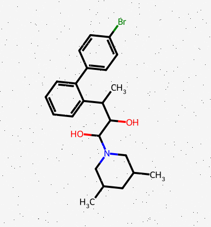 CC1CC(C)CN(C(O)C(O)C(C)c2ccccc2-c2ccc(Br)cc2)C1